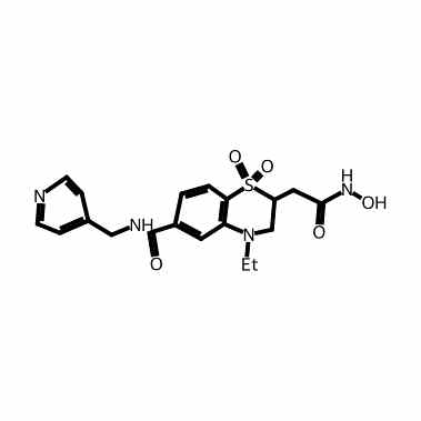 CCN1CC(CC(=O)NO)S(=O)(=O)c2ccc(C(=O)NCc3ccncc3)cc21